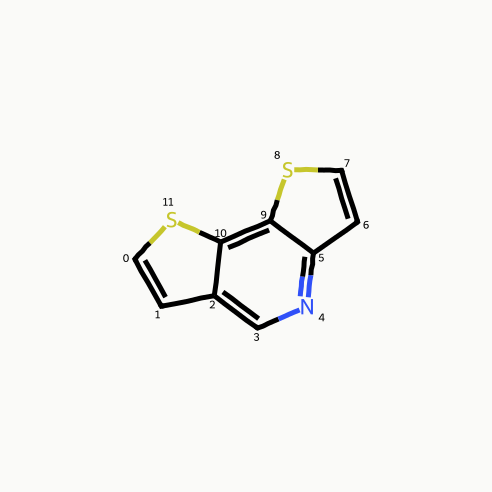 c1cc2cnc3ccsc3c2s1